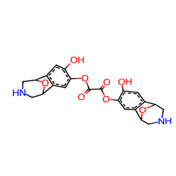 O=C(Oc1cc2c(cc1O)C1CNCC2O1)C(=O)Oc1cc2c(cc1O)C1CNCC2O1